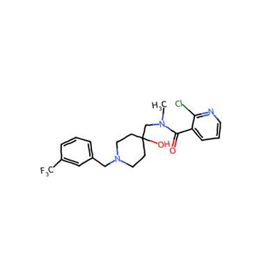 CN(CC1(O)CCN(Cc2cccc(C(F)(F)F)c2)CC1)C(=O)c1cccnc1Cl